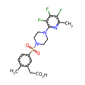 Cc1ccc(S(=O)(=O)N2CCN(c3nc(C)c(F)c(F)c3F)CC2)cc1CC(=O)O